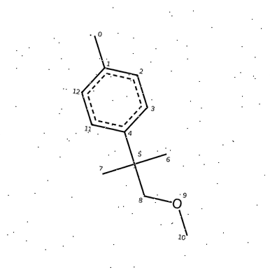 [CH2]c1ccc(C(C)(C)COC)cc1